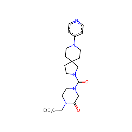 CCOC(=O)CN1CCN(C(=O)N2CCC3(CCN(c4ccncc4)CC3)C2)CC1=O